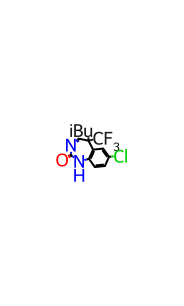 CCC(C)C1(C(F)(F)F)C=NC(=O)Nc2ccc(Cl)cc21